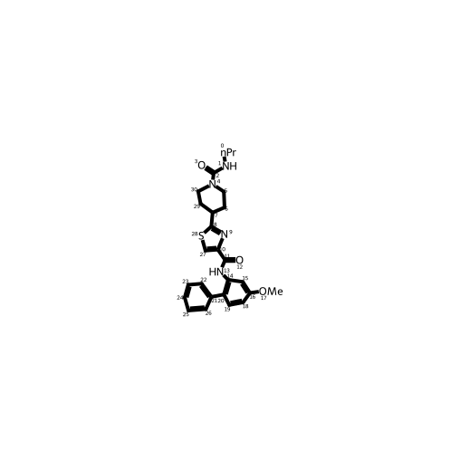 CCCNC(=O)N1CCC(c2nc(C(=O)Nc3cc(OC)ccc3-c3ccccc3)cs2)CC1